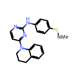 CNSc1ccc(Nc2nccc(N3CCCc4ccccc43)n2)cc1